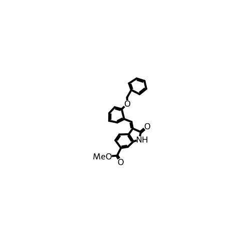 COC(=O)c1ccc2c(c1)NC(=O)/C2=C/c1ccccc1OCc1ccccc1